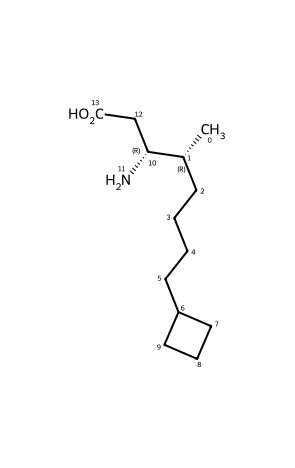 C[C@H](CCCCC1CCC1)[C@H](N)CC(=O)O